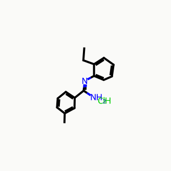 CCc1ccccc1N=C(N)c1cccc(C)c1.Cl